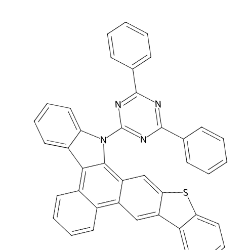 c1ccc(-c2nc(-c3ccccc3)nc(-n3c4ccccc4c4c5ccccc5c5cc6c(cc5c43)sc3ccccc36)n2)cc1